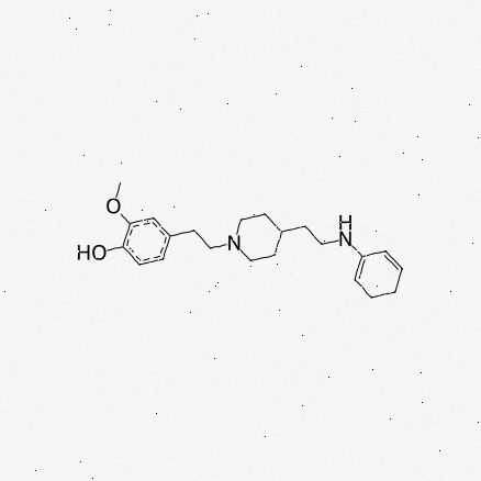 COc1cc(CCN2CCC(CCNC3=CCCC=C3)CC2)ccc1O